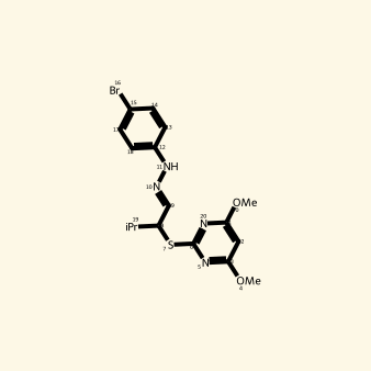 COc1cc(OC)nc(SC(C=NNc2ccc(Br)cc2)C(C)C)n1